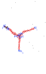 N#CC#Cc1ccc(-n2cc(COCCOCCOCCOCCOCCC(=O)NC(CC(=O)NCCOCCOCCOCCOCCOCCOCCOCCN)CC(=O)NCCOCCOCCOCCOCCOCCOCCOCCN)nn2)cc1